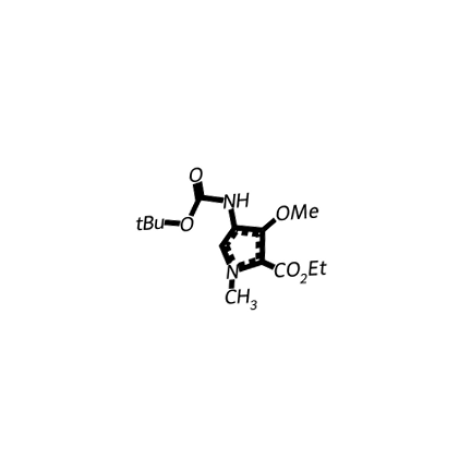 CCOC(=O)c1c(OC)c(NC(=O)OC(C)(C)C)cn1C